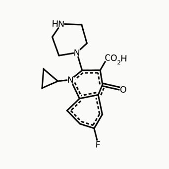 O=C(O)c1c(N2CCNCC2)n(C2CC2)c2ccc(F)cc2c1=O